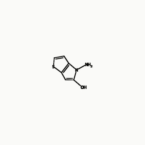 Nn1c(O)cc2sccc21